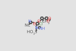 Cc1c(COc2cc(OCc3cncc(C#N)c3)c(CN(CCS(=O)(=O)O)C3CCNC3)cc2Cl)cccc1-c1ccc2c(c1)OCCO2